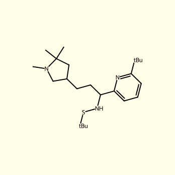 CN1CC(CCC(NSC(C)(C)C)c2cccc(C(C)(C)C)n2)CC1(C)C